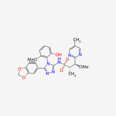 COc1cccc(O)c1-n1c(NS(=O)(=O)[C@@H](C)[C@H](OC)c2ncc(C)cn2)nnc1-c1c#cc2c(c1)OCO2